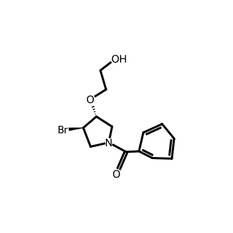 O=C(c1ccccc1)N1C[C@@H](Br)[C@H](OCCO)C1